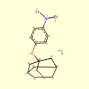 CCN(CC)c1ccc(OC23CC4CC(CC(C4)C2)C3)cc1.Cl